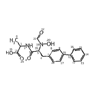 CC(NC(=O)[C@H](Cc1ccc(-c2ccccc2)cc1)N(O)C=O)C(=O)O